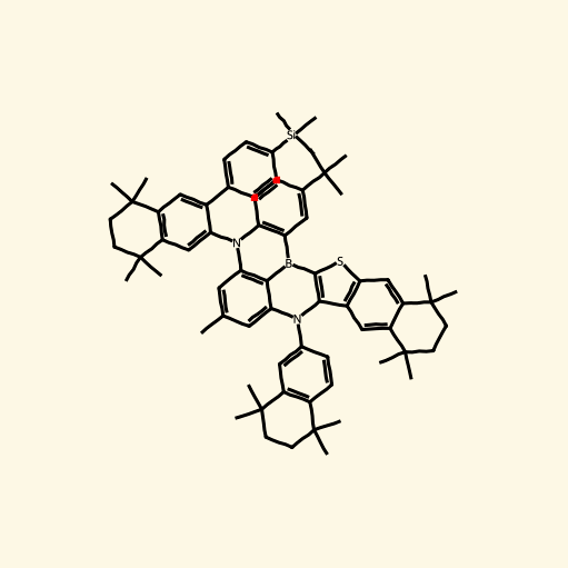 Cc1cc2c3c(c1)N(c1ccc4c(c1)C(C)(C)CCC4(C)C)c1c(sc4cc5c(cc14)C(C)(C)CCC5(C)C)B3c1cc(C(C)(C)C)ccc1N2c1cc2c(cc1-c1ccc([Si](C)(C)C)cc1)C(C)(C)CCC2(C)C